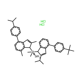 CC1=Cc2c(-c3ccc(C(C)C)cc3)ccc(C)c2[CH]1[Zr]([CH3])([CH3])(=[SiH2])[CH]1C(C(C)C)=Cc2c(-c3ccc(C(C)(C)C)cc3)cccc21.Cl.Cl